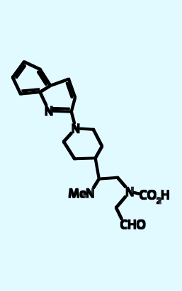 CNC(CN(CC=O)C(=O)O)C1CCN(c2ccc3ccccc3n2)CC1